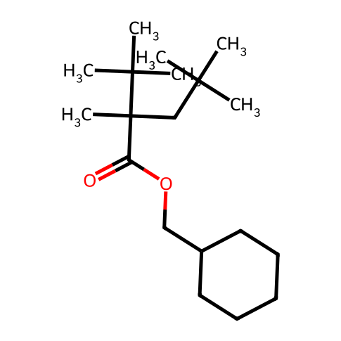 CC(C)(C)CC(C)(C(=O)OCC1CCCCC1)C(C)(C)C